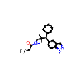 Cn1ncc2cc(C(c3ccccc3)C(C)(C)CNC(=O)CC(F)(F)F)ccc21